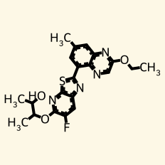 CCOc1cnc2c(-c3nc4cc(F)c(OC(C)C(C)O)nc4s3)cc(C)cc2n1